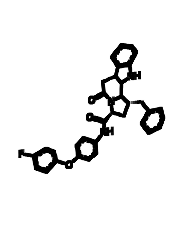 O=C(Nc1ccc(Oc2ccc(F)cc2)cc1)[C@@H]1C[C@@H](Cc2ccccc2)C2C3Nc4ccccc4C3CC(=O)N21